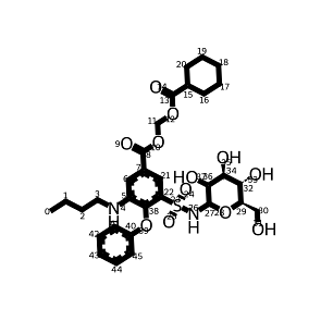 CCCCNc1cc(C(=O)OCOC(=O)C2CCCCC2)cc(S(=O)(=O)NC2O[C@H](CO)[C@@H](O)[C@H](O)C2O)c1Oc1ccccc1